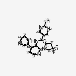 CC(C)c1ncc(C(=O)Nc2c(-c3cccnc3)ccnc2N2CCC(F)(F)C2)cn1